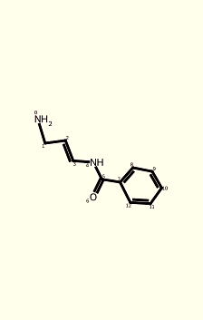 NCC=CNC(=O)c1ccccc1